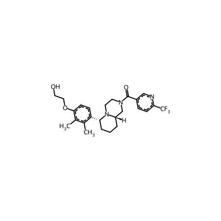 Cc1c(OCCO)ccc([C@H]2CCC[C@H]3CN(C(=O)c4ccc(C(F)(F)F)nc4)CCN32)c1C